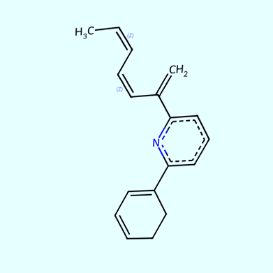 C=C(/C=C\C=C/C)c1cccc(C2=CC=CCC2)n1